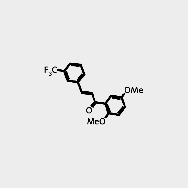 COc1ccc(OC)c(C(=O)C=Cc2cccc(C(F)(F)F)c2)c1